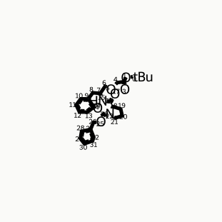 CC(C)(C)OC(=O)COCC(Cc1ccccc1)NC(=O)[C@@H]1CCCN1C(=O)OCc1ccccc1